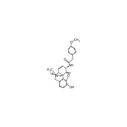 COc1ccc(CC(=O)N[C@@H]2C=CC3[C@H]4Cc5ccc(O)c6c5[C@@]3(CCN4C)[C@H]2O6)cc1